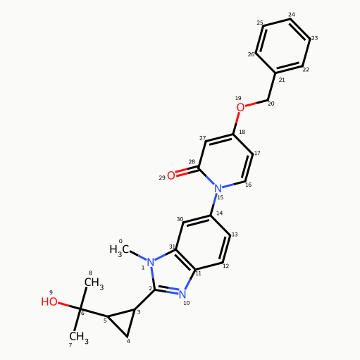 Cn1c(C2CC2C(C)(C)O)nc2ccc(-n3ccc(OCc4ccccc4)cc3=O)cc21